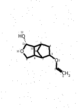 C=COC1CC2CC1C1CO[C@H](O)C21